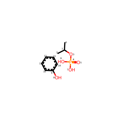 CC(C)OP(=O)(O)O.Oc1ccccc1